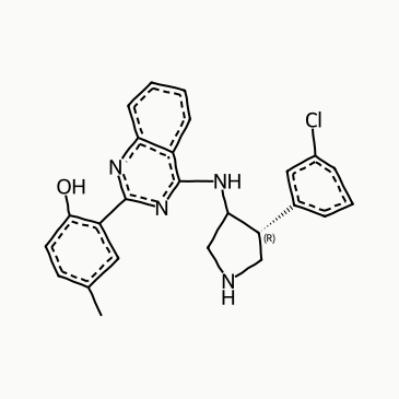 Cc1ccc(O)c(-c2nc(NC3CNC[C@H]3c3cccc(Cl)c3)c3ccccc3n2)c1